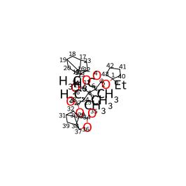 CCC1(OC(=O)C(C)(C)C(C)(C(=O)OC2(C)C3CC4CC(C3)CC2C4)C(C)(C)C(=O)OC2C3CC4C(=O)OC2C4C3)CCCC1